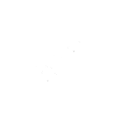 Cc1ccc(S(=O)(=O)NC2(C)CN(C)C2)cc1-c1cnc2c(N)nc(C(F)(F)F)nn12